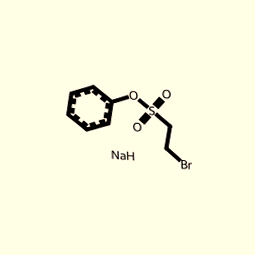 O=S(=O)(CCBr)Oc1ccccc1.[NaH]